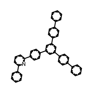 c1ccc(-c2ccc(-c3cc(-c4ccc(-c5ccccc5)cc4)cc(-c4ccc(-c5cccc(-c6ccccc6)n5)cc4)c3)cc2)cc1